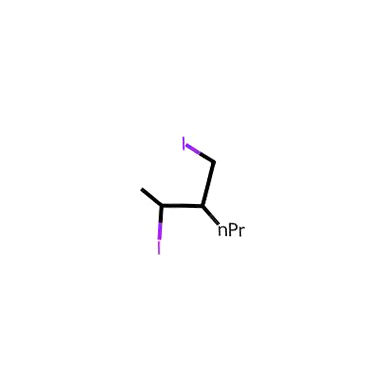 CCCC(CI)C(C)I